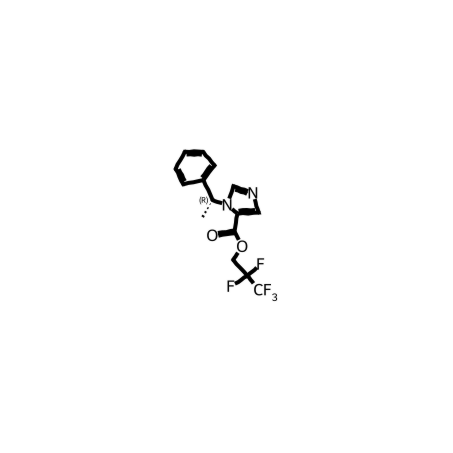 C[C@H](c1ccccc1)n1cncc1C(=O)OCC(F)(F)C(F)(F)F